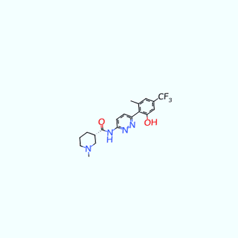 Cc1cc(C(F)(F)F)cc(O)c1-c1ccc(NC(=O)[C@H]2CCCN(C)C2)nn1